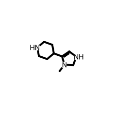 CN1CNC=C1C1CCNCC1